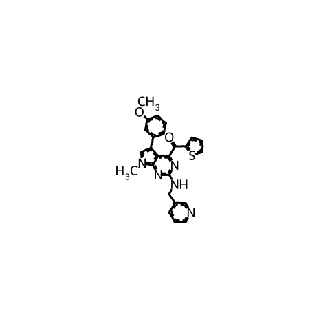 COc1cccc(-c2cn(C)c3nc(NCc4cccnc4)nc(C(=O)c4cccs4)c23)c1